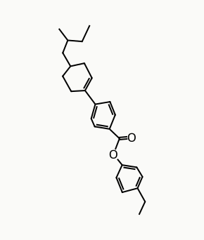 CCc1ccc(OC(=O)c2ccc(C3=CCC(CC(C)CC)CC3)cc2)cc1